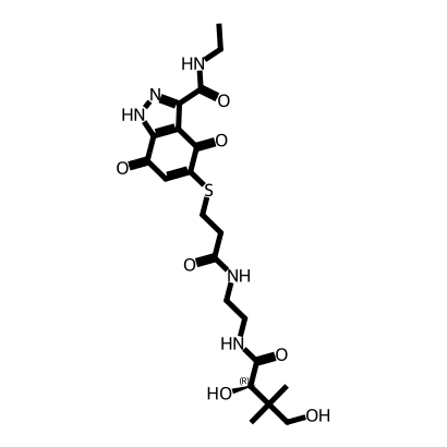 CCNC(=O)c1n[nH]c2c1C(=O)C(SCCC(=O)NCCNC(=O)[C@H](O)C(C)(C)CO)=CC2=O